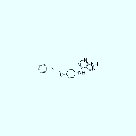 c1ccc(CCCO[C@H]2CC[C@@H](Nc3ncnc4[nH]ncc34)CC2)cc1